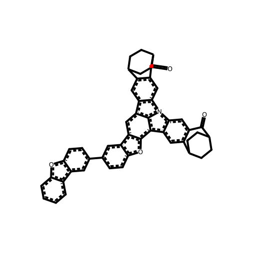 O=C1c2cc3c(cc2C2CCC1CC2)c1cc2c4cc(-c5ccc6oc7ccccc7c6c5)ccc4oc2c2c4cc5c(cc4n3c12)C(=O)C1CCC5CC1